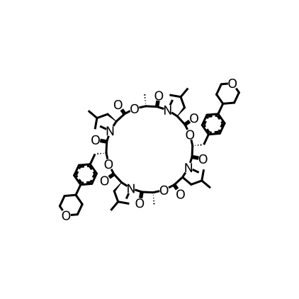 CC(C)CC1C(=O)O[C@H](C)C(=O)N(C)[C@@H](CC(C)C)C(=O)O[C@H](Cc2ccc(C3CCOCC3)cc2)C(=O)N(C)[C@@H](CC(C)C)C(=O)O[C@H](C)C(=O)N(C)[C@@H](CC(C)C)C(=O)O[C@H](Cc2ccc(C3CCOCC3)cc2)C(=O)N1C